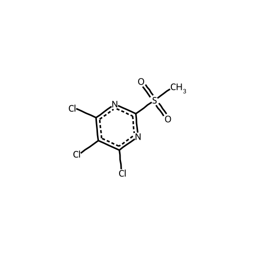 CS(=O)(=O)c1nc(Cl)c(Cl)c(Cl)n1